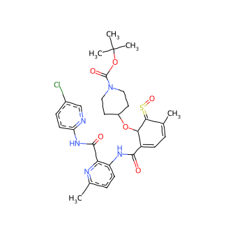 CC1=CC=C(C(=O)Nc2ccc(C)nc2C(=O)Nc2ccc(Cl)cn2)C(OC2CCN(C(=O)OC(C)(C)C)CC2)C1=S=O